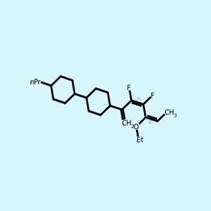 C=C(/C(F)=C(F)\C(=C/C)OCC)C1CCC(C2CCC(CCC)CC2)CC1